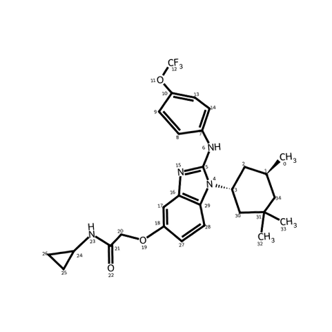 C[C@@H]1C[C@@H](n2c(Nc3ccc(OC(F)(F)F)cc3)nc3cc(OCC(=O)NC4CC4)ccc32)CC(C)(C)C1